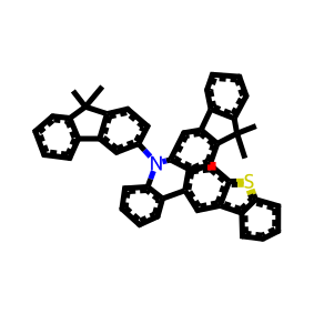 CC1(C)c2ccccc2-c2cc(N(c3ccc4c(c3)-c3ccccc3C4(C)C)c3ccccc3-c3ccc4sc5ccccc5c4c3)ccc21